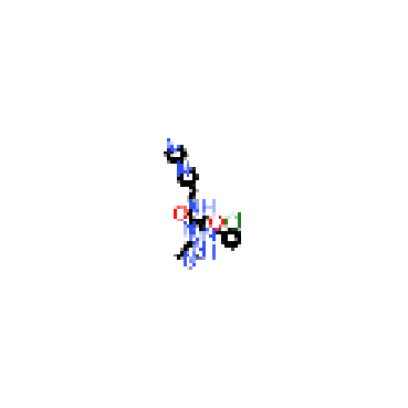 Cc1c(C(=O)NCCC2CCN(c3ccncc3)CC2)nn(C2=CC(C)N(C)C=N2)c1NC(=O)c1ccccc1Cl